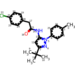 Cc1ccc(-n2nc(C(C)(C)C)cc2NC(=O)Cc2ccc(Cl)cc2)cc1